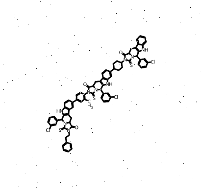 Cc1cc(-c2ccc3[nH]c4c(c3c2)CC2C(=O)N(CCc3ccccc3)C(=S)N2C4c2cccc(Cl)c2)ccc1N1C(=O)C2Cc3c([nH]c4cc(C5CCC(N6C(=O)C7Cc8c([nH]c9ccccc89)C(c8cccc(Cl)c8)N7C6=S)CC5)ccc34)C(c3cccc(Cl)c3)N2C1=S